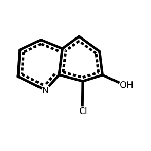 Oc1ccc2cccnc2c1Cl